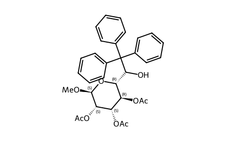 CO[C@H]1O[C@H](C(O)C(c2ccccc2)(c2ccccc2)c2ccccc2)[C@@H](OC(C)=O)[C@H](OC(C)=O)[C@@H]1OC(C)=O